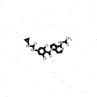 CC(=O)Nc1nccc2c1ccn2C(=O)c1c(Cl)cc(NC(=O)NC2CC2)cc1Cl